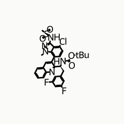 Cn1nc(NS(C)(=O)=O)c2c(Cl)ccc(-c3cc4ccccc4nc3[C@H](Cc3cc(F)cc(F)c3)NC(=O)OC(C)(C)C)c21